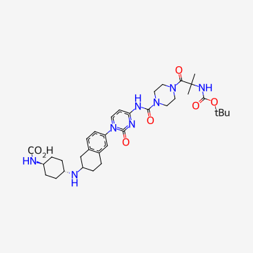 CC(C)(C)OC(=O)NC(C)(C)C(=O)N1CCN(C(=O)Nc2ccn(-c3ccc4c(c3)CCC(N[C@H]3CC[C@H](NC(=O)O)CC3)C4)c(=O)n2)CC1